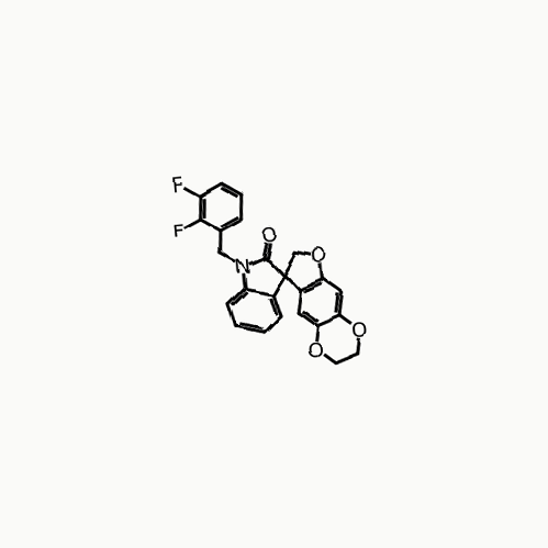 O=C1N(Cc2cccc(F)c2F)c2ccccc2C12COc1cc3c(cc12)OCCO3